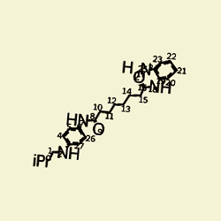 CC(C)CNc1ccc(NC(=O)CCCCCCC(=O)Nc2ccccc2N)cc1